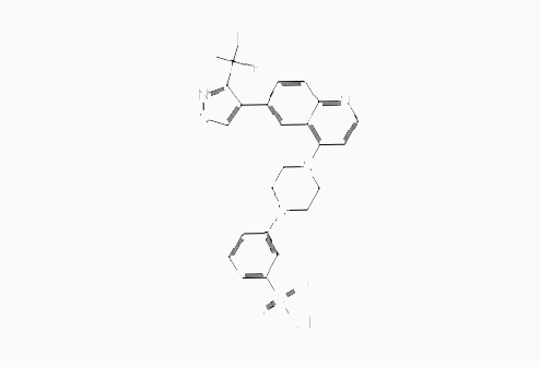 CS(=O)(=O)c1cccc(N2CCN(c3ccnc4ccc(-c5c[nH]nc5C(F)(F)F)cc34)CC2)c1